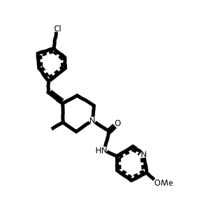 COc1ccc(NC(=O)N2CC/C(=C\c3ccc(Cl)cc3)C(C)C2)cn1